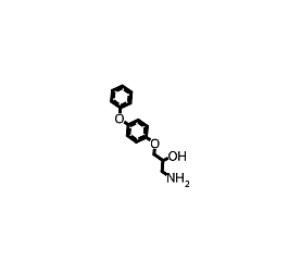 NCC(O)COc1ccc(Oc2ccccc2)cc1